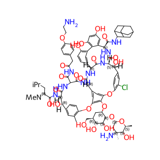 CN[C@H](CC(C)C)C(=O)N[C@H]1C(=O)NC(C(=O)NC(=O)Cc2ccc(OCCN)cc2)C(=O)N[C@H]2C(=O)N[C@H]3C(=O)N[C@H](C(=O)N[C@H](C(=O)NC4C5CC6CC(C5)CC4C6)c4cc(O)cc(O)c4-c4cc3ccc4O)[C@H](O)c3ccc(c(Cl)c3)Oc3cc2cc(c3O[C@@H]2C[C@H](CO)[C@@H](O)[C@H](O)[C@H]2O[C@H]2C[C@](C)(N)[C@H](O)[C@H](C)O2)Oc2ccc(cc2C)[C@H]1O